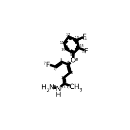 C\C(=C/C=C(\C=C\F)Oc1cccc(F)c1F)NN